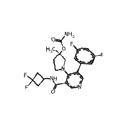 CC1(OC(N)=O)CCN(c2c(C(=O)NC3CC(F)(F)C3)cncc2-c2cc(F)cc(F)c2)C1